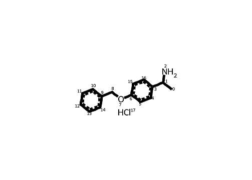 CC(N)c1ccc(OCc2ccccc2)cc1.Cl